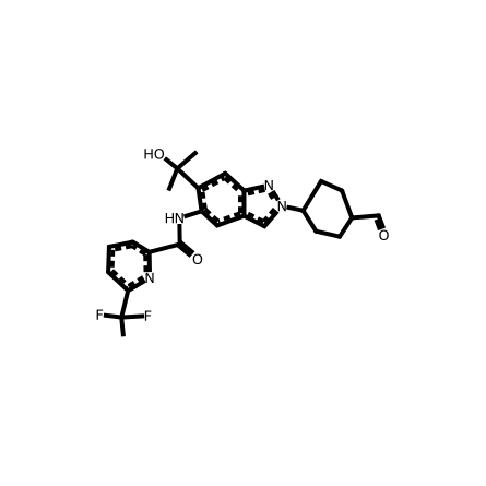 CC(C)(O)c1cc2nn(C3CCC(C=O)CC3)cc2cc1NC(=O)c1cccc(C(C)(F)F)n1